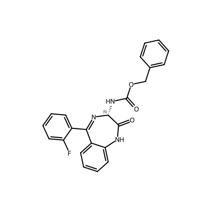 O=C(N[C@H]1N=C(c2ccccc2F)c2ccccc2NC1=O)OCc1ccccc1